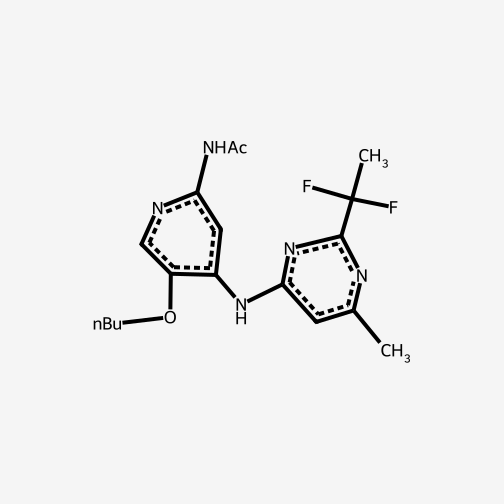 CCCCOc1cnc(NC(C)=O)cc1Nc1cc(C)nc(C(C)(F)F)n1